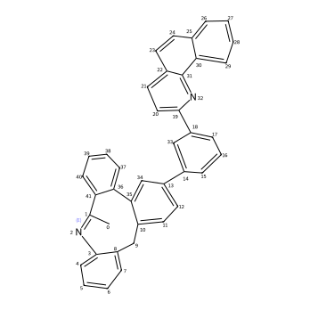 C/C1=N\c2ccccc2Cc2ccc(-c3cccc(-c4ccc5ccc6ccccc6c5n4)c3)cc2-c2ccccc21